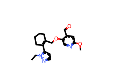 CCn1nccc1C1=C(COc2cnc(OC)cc2C=O)CCCC1